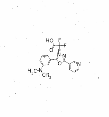 CN(C)c1cccc(-c2nnc(-c3cccnc3)o2)c1.O=C(O)C(F)(F)F